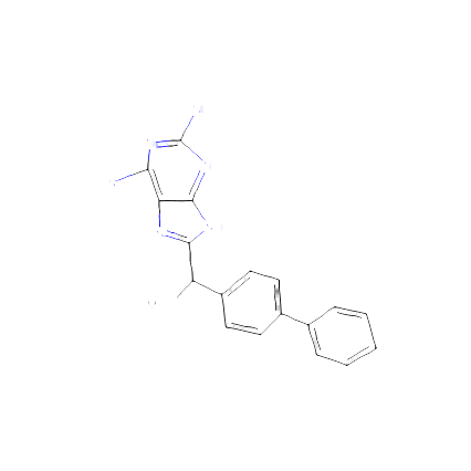 COC(c1ccc(-c2ccccc2)cc1)c1nc2c(N)nc(N)nc2[nH]1